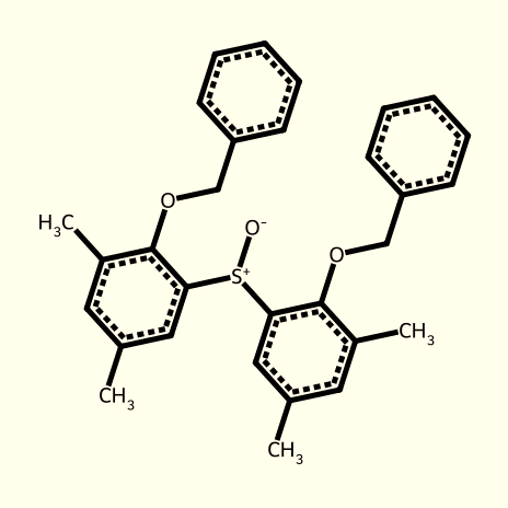 Cc1cc(C)c(OCc2ccccc2)c([S+]([O-])c2cc(C)cc(C)c2OCc2ccccc2)c1